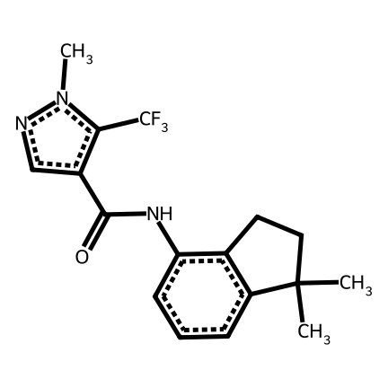 Cn1ncc(C(=O)Nc2cccc3c2CCC3(C)C)c1C(F)(F)F